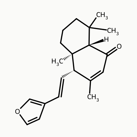 CC1=CC(=O)[C@H]2C(C)(C)CCC[C@]2(C)[C@H]1/C=C/c1ccoc1